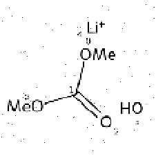 COC(=O)OC.[Li+].[OH-]